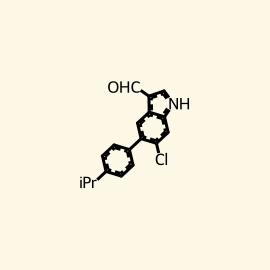 CC(C)c1ccc(-c2cc3c(C=O)c[nH]c3cc2Cl)cc1